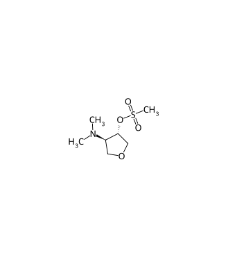 CN(C)[C@@H]1COC[C@H]1OS(C)(=O)=O